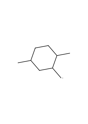 [CH2]C1CC(C)CCC1C